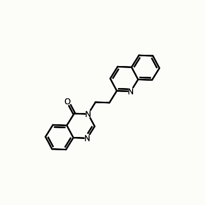 O=c1c2ccccc2ncn1CCc1ccc2ccccc2n1